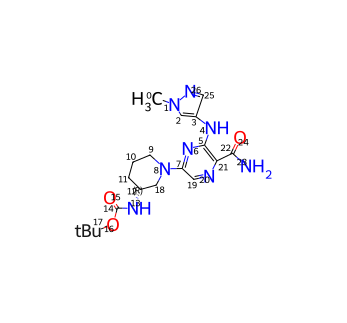 Cn1cc(Nc2nc(N3CCC[C@@H](NC(=O)OC(C)(C)C)C3)cnc2C(N)=O)cn1